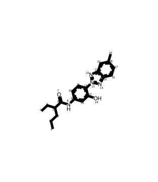 CCCC(CC)C(=O)Nc1ccc(-n2nc3ccc(C)cc3n2)c(O)c1